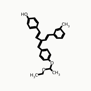 CCOC(C)Oc1ccc(C=C(C=Cc2ccc(O)cc2)C=Cc2cccc(C)c2)cc1